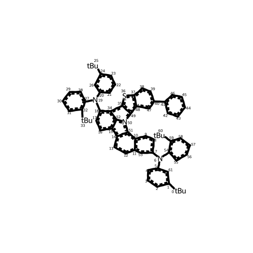 CC(C)(C)c1cccc(N(c2ccc3c(ccc4c5ccc(N(c6cccc(C(C)(C)C)c6)c6ccccc6C(C)(C)C)c6c7sc8ccc(-c9ccccc9)cc8c7n(c34)c56)c2)c2ccccc2C(C)(C)C)c1